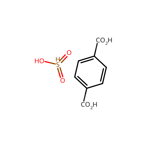 O=C(O)c1ccc(C(=O)O)cc1.O=[SH](=O)O